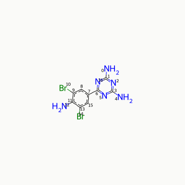 Nc1nc(N)nc(-c2cc(Br)c(N)c(Br)c2)n1